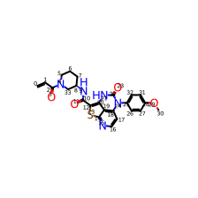 C=CC(=O)N1CCC[C@@H](NC(=O)c2sc3nccc4c3c2NC(=O)N4c2ccc(OC)cc2)C1